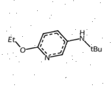 CCOc1ccc(NC(C)(C)C)cn1